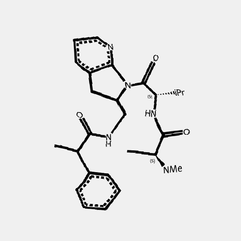 CN[C@@H](C)C(=O)N[C@H](C(=O)N1c2ncccc2CC1CNC(=O)C(C)c1ccccc1)C(C)C